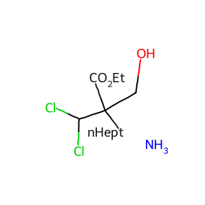 CCCCCCCC(CO)(C(=O)OCC)C(Cl)Cl.N